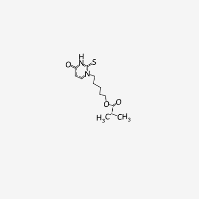 CC(C)C(=O)OCCCCCn1ccc(=O)[nH]c1=S